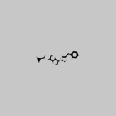 O=C(NC1COC2C1OCC2n1cc(Cc2ccccc2)nn1)C1CC1